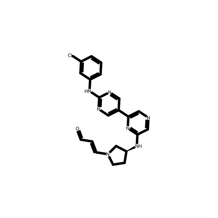 O=CC=CN1CC[C@H](Nc2cncc(-c3cnc(Nc4cccc(Cl)c4)nc3)n2)C1